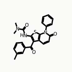 Cc1cccc(C(=O)c2c(NC(=O)N(C)C)sc3c2ccc(=O)n3-c2ccccc2)c1